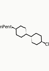 CCCCC[C@H]1CC[C@H]([C@H]2CC[C@H](Cl)CC2)CC1